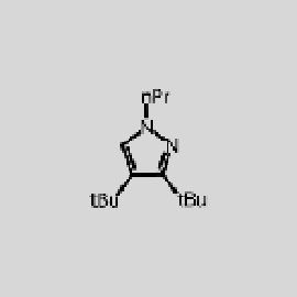 CCCn1cc(C(C)(C)C)c(C(C)(C)C)n1